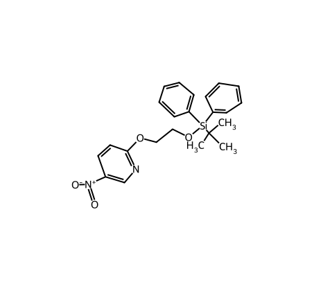 CC(C)(C)[Si](OCCOc1ccc([N+](=O)[O-])cn1)(c1ccccc1)c1ccccc1